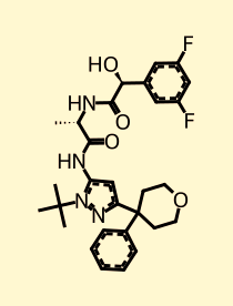 C[C@H](NC(=O)[C@@H](O)c1cc(F)cc(F)c1)C(=O)Nc1cc(C2(c3ccccc3)CCOCC2)nn1C(C)(C)C